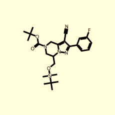 CC(C)(C)OC(=O)N1Cc2c(C#N)c(-c3cccc(F)c3)nn2C(CO[Si](C)(C)C(C)(C)C)C1